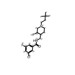 CC(C)(C)CCN1CCC(CNC(=O)c2cc(F)cc(Cl)c2)C(F)C1